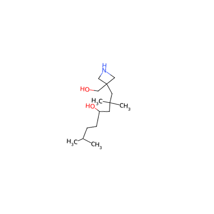 CC(C)CCC(O)CC(C)(C)CC1(CO)CNC1